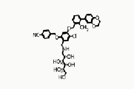 Cc1c(COc2cc(OCc3ccc(C#N)cc3)c(CNC[C@H](O)[C@@H](O)[C@H](O)[C@H](O)CO)cc2Cl)cccc1-c1ccc2c(c1)OCCO2